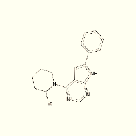 CCC1CCCCN1c1ncnc2[nH]c(-c3ccccc3)cc12